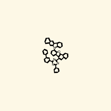 c1ccc(-c2cccc(-c3nc(-c4ccccc4)nc(-c4cc5ccccc5c5oc6c(-n7c8ccccc8c8cc9ccccc9cc87)cccc6c45)n3)c2)cc1